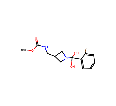 CC(C)(C)OC(=O)NCC1CN(C(O)(O)c2ccccc2Br)C1